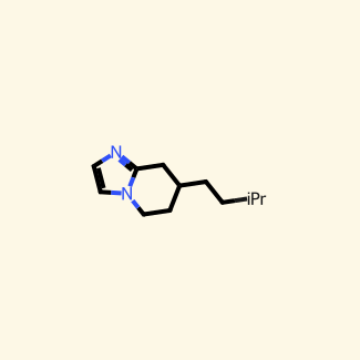 CC(C)CCC1CCn2ccnc2C1